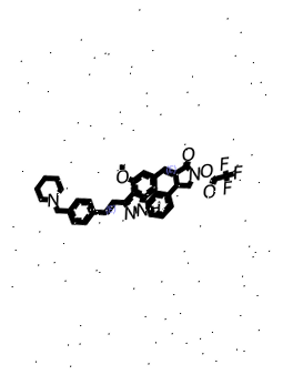 COc1cc(/C=C2/C(=O)N(OC(=O)C(F)(F)F)CC2c2ccccc2)cc2[nH]nc(/C=C/c3ccc(CN4CCCCC4)cc3)c12